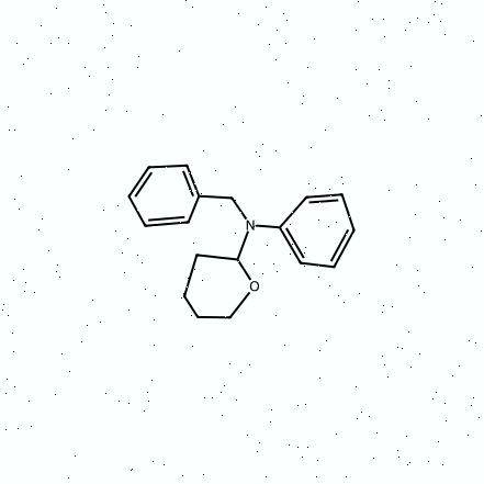 c1ccc(CN(c2ccccc2)C2CCCCO2)cc1